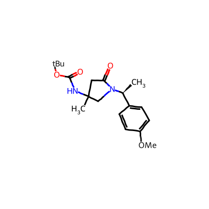 COc1ccc([C@H](C)N2CC(C)(NC(=O)OC(C)(C)C)CC2=O)cc1